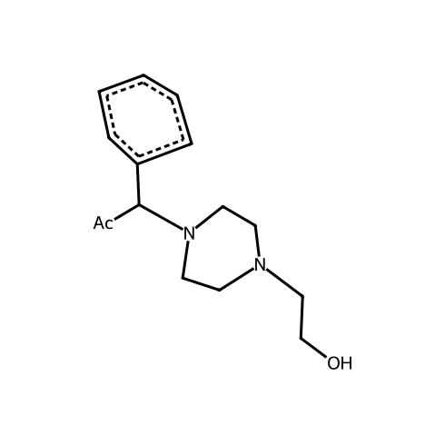 CC(=O)C(c1ccccc1)N1CCN(CCO)CC1